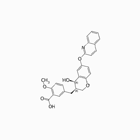 COc1ccc(C[C@@H]2COc3ccc(Oc4ccc5ccccc5n4)cc3[C@@H]2O)cc1C(=O)O